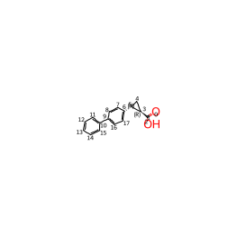 O=C(O)[C@@H]1C[C@H]1c1ccc(-c2ccccc2)cc1